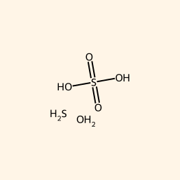 O.O=S(=O)(O)O.S